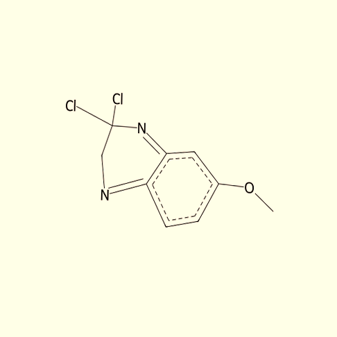 COc1ccc2c(c1)=NC(Cl)(Cl)CN=2